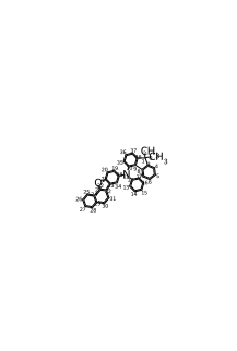 CC1(C)c2ccccc2-c2c(N(c3ccccc3)c3ccc4oc5c6ccccc6ccc5c4c3)cccc21